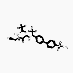 C[C@H](C[C@H](N[C@@H](c1ccc(-c2ccc(S(C)(=O)=O)cc2)cc1)C(F)(F)F)C(=O)NCC#N)C(F)(F)F